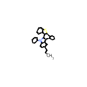 C/C=C/c1ccc2c(c1)c1c3ccccc3c3sc4ccccc4c3c1n2-c1ccccc1